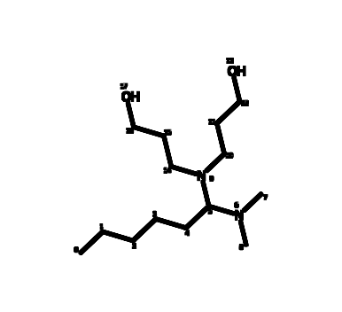 CCCCCC(N(C)C)N(CCCO)CCCO